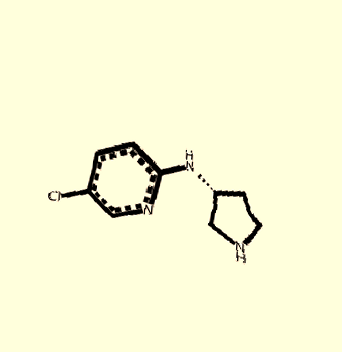 Clc1ccc(N[C@@H]2CCNC2)nc1